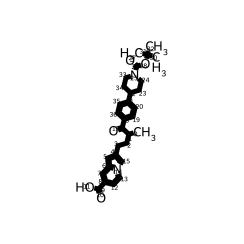 CC(CCc1cc2cc(C(=O)O)ccn2c1)C(=O)c1ccc(C2CCN(C(=O)OC(C)(C)C)CC2)cc1